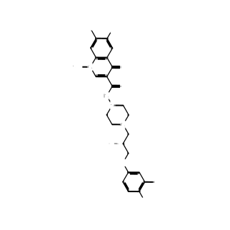 N#Cn1cc(C(=O)NN2CCN(C[C@H](O)COc3ccc(Cl)c(F)c3)CC2)c(=O)c2cc(F)c(Cl)cc21